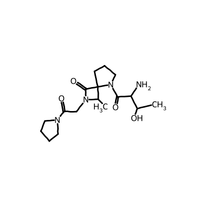 CC(O)C(N)C(=O)N1CCCC12C(=O)N(CC(=O)N1CCCC1)C2C